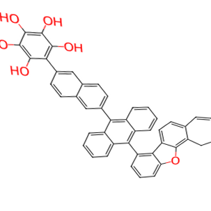 Oc1c(O)c(O)c(-c2ccc3cc(-c4c5ccccc5c(-c5cccc6oc7c8c(ccc7c56)C=CC=CC8)c5ccccc45)ccc3c2)c(O)c1O